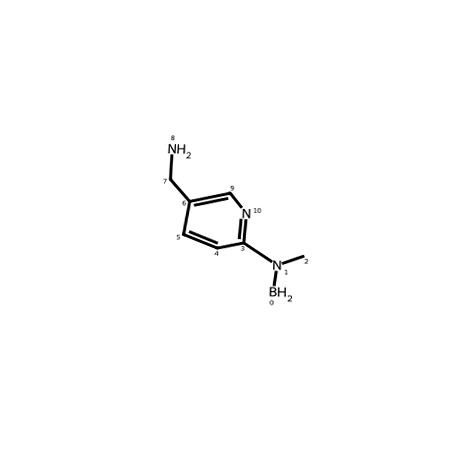 BN(C)c1ccc(CN)cn1